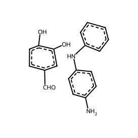 Nc1ccc(Nc2ccccc2)cc1.O=Cc1ccc(O)c(O)c1